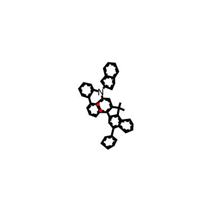 CC1(C)c2cc(N(c3ccc4ccccc4c3)c3ccccc3-c3ccccc3)ccc2-c2cc(-c3ccccc3)c3ccccc3c21